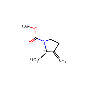 C=C1CCN(C(=O)OC(C)(C)C)[C@@H]1C(=O)OCC